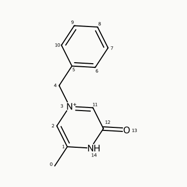 Cc1c[n+](Cc2ccccc2)cc(=O)[nH]1